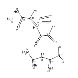 C=C.C=C.C=C(C)C(=O)O.C=C(C)C(=O)O.CN(C)C(=N)NC(=N)N.Cl